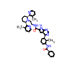 Cc1cccnc1[C@H]1CCC[C@@H](c2ncccc2C)N1CCNC(=O)c1cc2c(-c3cccc(NC(=O)c4ccccc4)c3C)ncnc2[nH]1